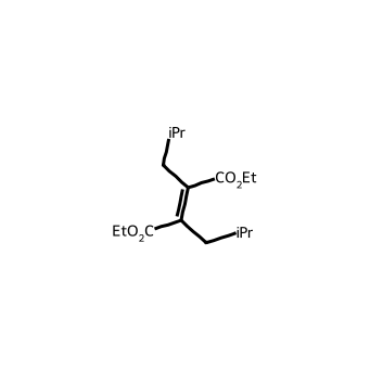 CCOC(=O)C(CC(C)C)=C(CC(C)C)C(=O)OCC